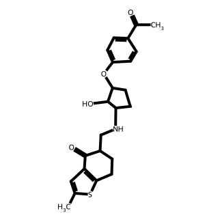 CC(=O)c1ccc(OC2CCC(NCC3CCc4sc(C)cc4C3=O)C2O)cc1